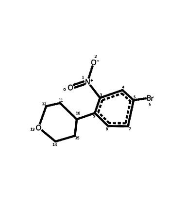 O=[N+]([O-])c1cc(Br)ccc1C1CCOCC1